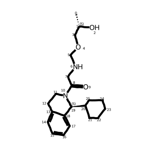 C[C@H](O)COCNCC(=O)N1CCc2ccccc2[C@@H]1C1CCCCC1